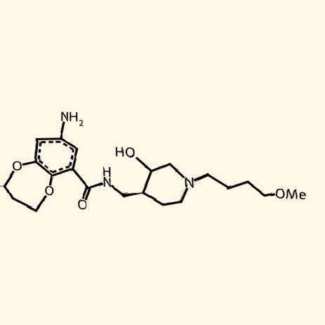 COCCCCN1CC[C@@H](CNC(=O)c2cc(N)cc3c2OCCCO3)C(O)C1